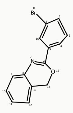 Brc1cccc(C2=Nc3ccccc3CO2)c1